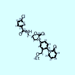 CCOCc1cc(N2C[C@H](CNC(=O)c3ccc(Cl)s3)OC2=O)ccc1-n1ccccc1=O